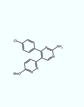 COc1ccc(-c2cnc(N)nc2-c2ccc(Cl)cc2)nn1